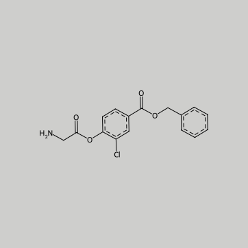 NCC(=O)Oc1ccc(C(=O)OCc2ccccc2)cc1Cl